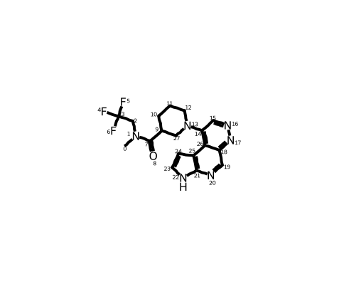 CN(CC(F)(F)F)C(=O)C1CCCN(c2cnnc3cnc4[nH]ccc4c23)C1